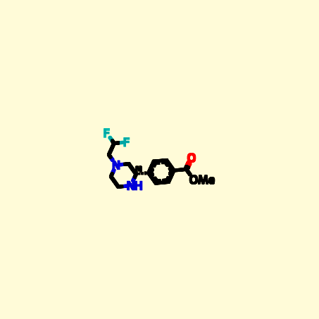 COC(=O)c1ccc([C@H]2CN(CC(F)F)CCN2)cc1